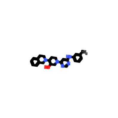 Cc1cccc(Nc2cc(N3CCC(N4CCc5ccccc5C4)C(O)C3)ncn2)c1